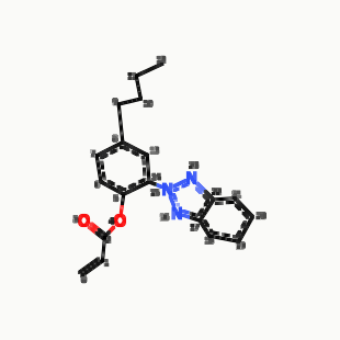 C=CC(=O)Oc1ccc(CCCC)cc1-n1nc2ccccc2n1